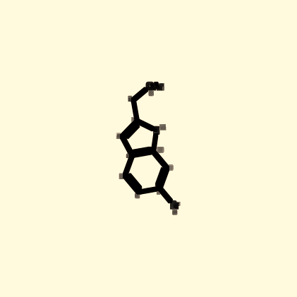 CC(=O)OCc1cc2ccc(Br)cc2s1